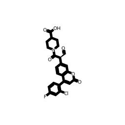 O=C[C@H](C(=O)N1CCC(C(=O)O)CC1)c1ccc2c(-c3ccc(F)cc3Cl)cc(=O)oc2c1